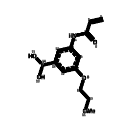 C=CC(=O)Nc1cc(OCCOC)cc(B(O)O)c1